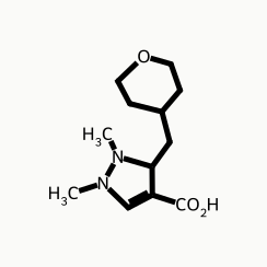 CN1C=C(C(=O)O)C(CC2CCOCC2)N1C